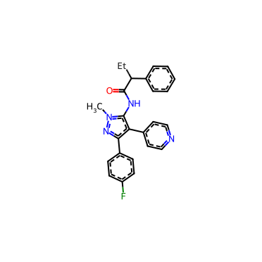 CCC(C(=O)Nc1c(-c2ccncc2)c(-c2ccc(F)cc2)nn1C)c1ccccc1